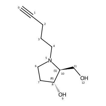 C#CCCCN1CC[C@@H](O)[C@@H]1CO